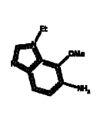 CCn1cnc2ccc(N)c(OC)c21